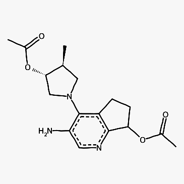 CC(=O)OC1CCc2c1ncc(N)c2N1C[C@H](OC(C)=O)[C@@H](C)C1